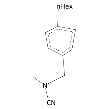 CCCCCCc1ccc(CN(C)C#N)cc1